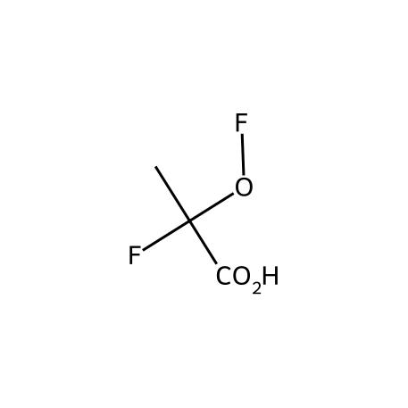 CC(F)(OF)C(=O)O